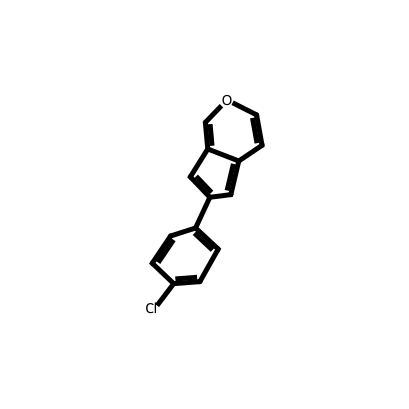 Clc1ccc(-c2cc3ccocc-3c2)cc1